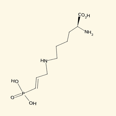 N[C@@H](CCCCNCC=CP(=O)(O)O)C(=O)O